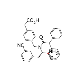 N#Cc1cccc(C[C@H](C(N)=O)N(Cc2ccc(CC(=O)O)cc2)C(=O)C(c2ccccc2)c2ccccc2)c1